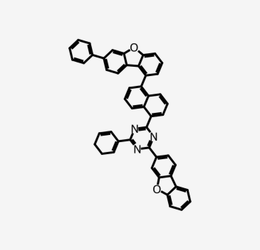 C1=CC(c2nc(-c3ccc4c(c3)oc3ccccc34)nc(-c3cccc4c(-c5cccc6oc7cc(-c8ccccc8)ccc7c56)cccc34)n2)=CCC1